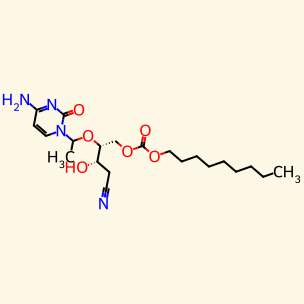 CCCCCCCCCOC(=O)OC[C@@H](OC(C)n1ccc(N)nc1=O)[C@@H](O)CC#N